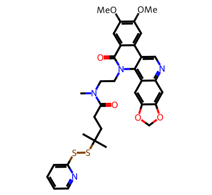 COc1cc2c(=O)n(CCN(C)C(=O)CCC(C)(C)SSc3ccccn3)c3c4cc5c(cc4ncc3c2cc1OC)OCO5